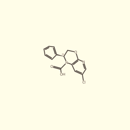 O=C(O)N1c2cc(Cl)cnc2OC[C@@H]1c1ccccc1